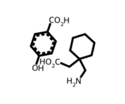 NCC1(CC(=O)O)CCCCC1.O=C(O)c1ccc(O)cc1